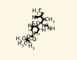 C=CC(C#N)C(C)[C@H](NC=N)OC1CCN(C(=O)OC(C)(C)C)CC1(F)F